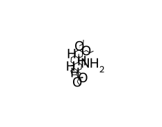 CCO[C@H]1C[C@@H]2CC[C@@H]3[C@H]([C@H](N)C[C@]4(C)[C@@H](C(=O)OC)CC[C@@H]34)[C@@]2(C)C[C@@H]1OCC